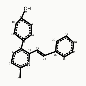 Cc1ccc(-c2ccc(O)cc2)c(C=Cc2ccccc2)n1